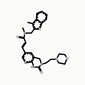 Cc1c(CN(C)C(=O)C=Cc2cnc3c(c2)CN(CCN2CCOCC2)C(=O)N3)sc2ccccc12